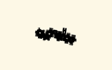 c1ccc(-n2ccc3cc(Oc4ccnc(Nc5ccc6c(c5)CCC6)n4)ccc32)nc1